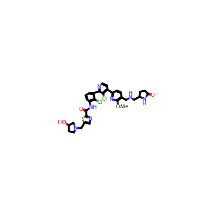 COc1nc(-c2ccnc(-c3cccc(NC(=O)c4ncc(CN5CCC(O)C5)s4)c3Cl)c2Cl)ccc1CNCC1CCC(=O)N1